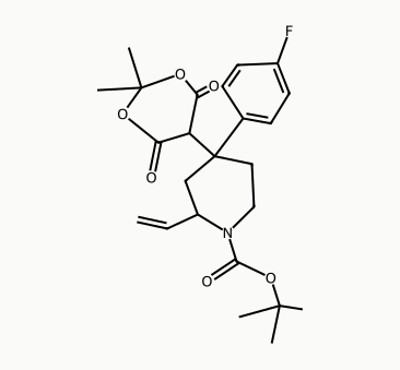 C=CC1CC(c2ccc(F)cc2)(C2C(=O)OC(C)(C)OC2=O)CCN1C(=O)OC(C)(C)C